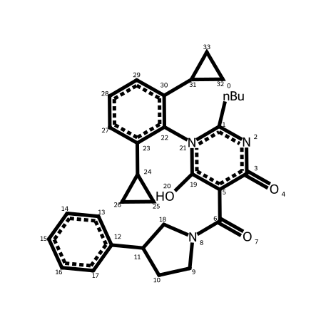 CCCCc1nc(=O)c(C(=O)N2CCC(c3ccccc3)C2)c(O)n1-c1c(C2CC2)cccc1C1CC1